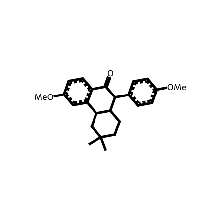 COc1ccc(C2C(=O)c3ccc(OC)cc3C3CC(C)(C)CCC32)cc1